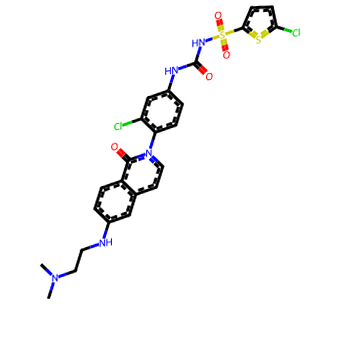 CN(C)CCNc1ccc2c(=O)n(-c3ccc(NC(=O)NS(=O)(=O)c4ccc(Cl)s4)cc3Cl)ccc2c1